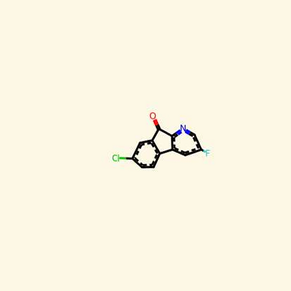 O=C1c2cc(Cl)ccc2-c2cc(F)cnc21